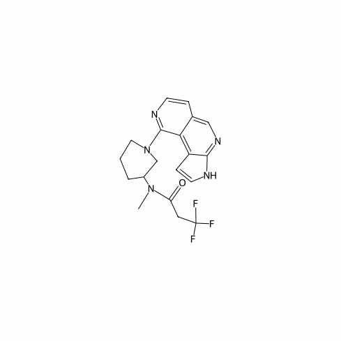 CN(C(=O)CC(F)(F)F)C1CCCN(c2nccc3cnc4[nH]ccc4c23)C1